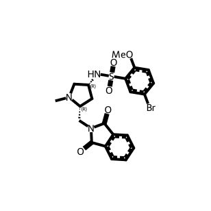 COc1ccc(Br)cc1S(=O)(=O)N[C@@H]1C[C@H](CN2C(=O)c3ccccc3C2=O)N(C)C1